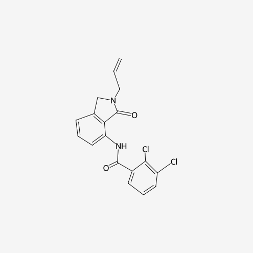 C=CCN1Cc2cccc(NC(=O)c3cccc(Cl)c3Cl)c2C1=O